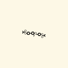 C=C(C)C(=O)Oc1ccc(COc2ccc(-c3ccc(OC(=O)C(=C)C)cc3)cc2F)cc1